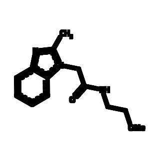 COCCNC(=O)Cn1c(C)nc2ccccc21